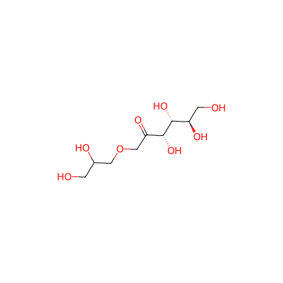 O=C(COCC(O)CO)[C@@H](O)[C@H](O)[C@H](O)CO